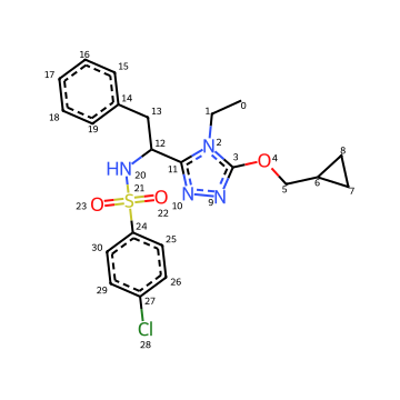 CCn1c(OCC2CC2)nnc1C(Cc1ccccc1)NS(=O)(=O)c1ccc(Cl)cc1